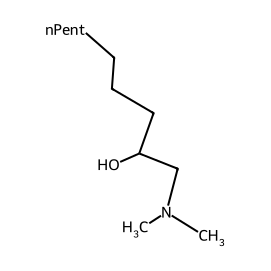 CCCCCCCCC(O)CN(C)C